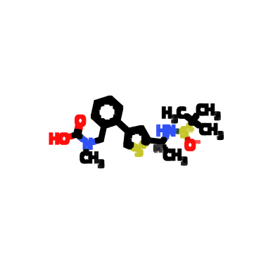 C[C@@H](N[S+]([O-])C(C)(C)C)c1cc(-c2ccccc2CN(C)C(=O)O)cs1